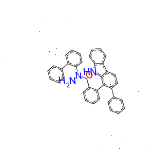 NN(C(=O)c1ccccc1-c1c(-c2ccccc2)ccc2c1[nH]c1ccccc12)c1ccccc1-c1ccccc1